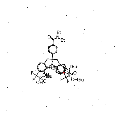 CCN(CC)C(=O)c1ccc(C(Cc2ccc(C(F)(F)P(=O)(OC(C)(C)C)OC(C)(C)C)cc2)(Cc2ccc(C(F)(F)P(=O)(O)O)c(C(C)(C)C)c2C(C)(C)C)C(=O)c2ccc(F)cc2)cc1